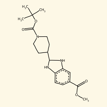 COC(=O)c1ccc2c(c1)NC(C1CCN(C(=O)OC(C)(C)C)CC1)N2